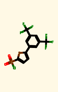 O=S(=O)(Cl)c1ccc(-c2cc(C(F)(F)F)cc(C(F)(F)F)c2)s1